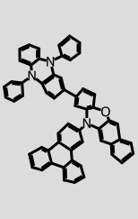 c1ccc(N2c3ccccc3N(c3ccccc3)c3cc(-c4ccc5c(c4)N(c4ccc6c7ccccc7c7ccccc7c6c4)c4cc6ccccc6cc4O5)ccc32)cc1